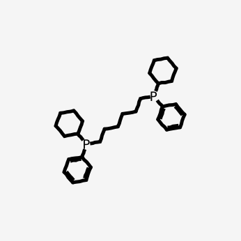 c1ccc(P(CCCCCCP(c2ccccc2)C2CCCCC2)C2CCCCC2)cc1